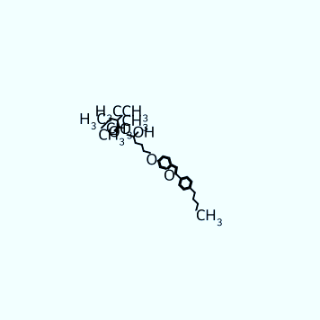 CCCCCc1ccc(-c2cc3ccc(OCCCCC(O)COC(=O)C(CC(C)(C)CC)C(C)(C)C)cc3o2)cc1